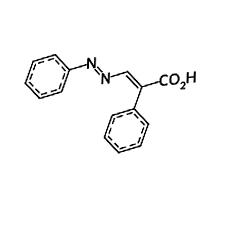 O=C(O)C(=CN=Nc1ccccc1)c1ccccc1